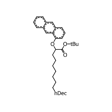 CCCCCCCCCCCCCCCCCC(Oc1cccc2cc3ccccc3cc12)C(=O)OC(C)(C)C